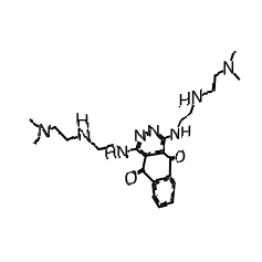 CN(C)CCNCCNc1nnc(NCCNCCN(C)C)c2c1C(=O)c1ccccc1C2=O